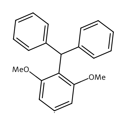 COc1c[c]cc(OC)c1C(c1ccccc1)c1ccccc1